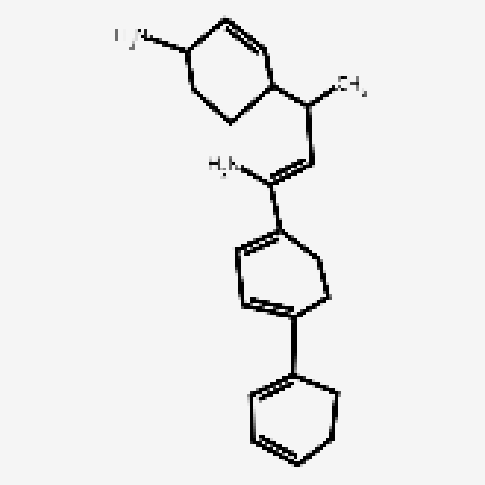 CC(/C=C(\N)C1=CC=C(C2=CC=CCC2)CC1)C1C=CC(N)CC1